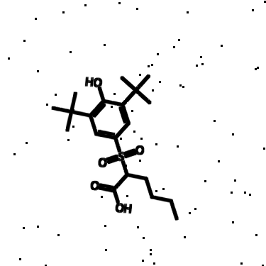 CCCCC(C(=O)O)S(=O)(=O)c1cc(C(C)(C)C)c(O)c(C(C)(C)C)c1